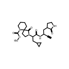 C#CC(CC1CCNC1=O)NC(=O)C(CC1CC1)N1CCC2(CCCCN2C(=O)OC(C)(C)C)C1=O